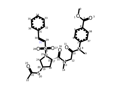 COC(=O)c1ccc(N(C)C(=O)CN(C)C(=O)[C@@H]2C[C@@H](SC(C)=O)CN2S(=O)(=O)/C=C/c2ccccc2)cc1